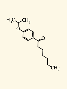 [CH2]CCCCCC(=O)c1ccc(OC(C)C)cc1